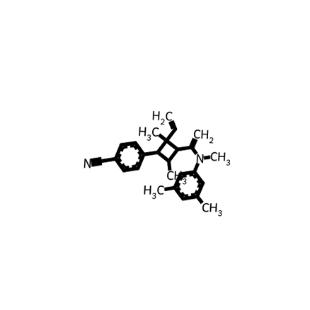 C=CC1(C)C(C(=C)N(C)c2cc(C)cc(C)c2)C(C)C1c1ccc(C#N)cc1